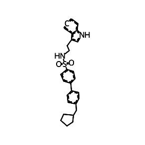 O=S(=O)(NCCc1c[nH]c2ccccc12)c1ccc(-c2ccc(CC3CCCC3)cc2)cc1